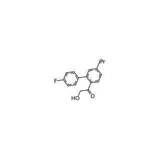 CC(C)c1ccc(C(=O)CO)c(-c2ccc(F)cc2)c1